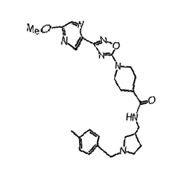 COc1cnc(-c2noc(N3CCC(C(=O)NCC4CCN(Cc5ccc(C)cc5)C4)CC3)n2)cn1